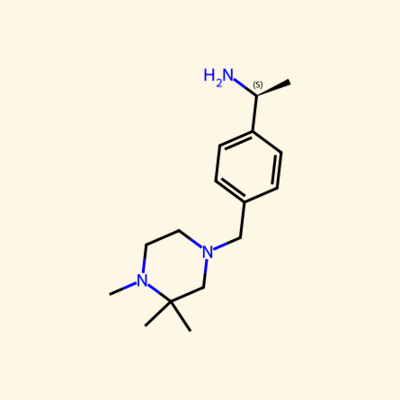 C[C@H](N)c1ccc(CN2CCN(C)C(C)(C)C2)cc1